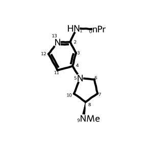 CCCNc1cc(N2CC[C@@H](NC)C2)ccn1